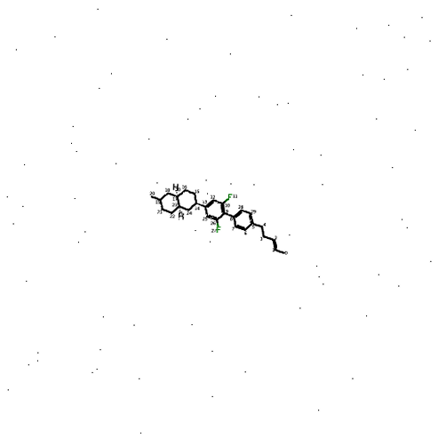 C/C=C/CCc1ccc(-c2c(F)cc([C@@H]3CC[C@@H]4CC(C)CC[C@@H]4C3)cc2F)cc1